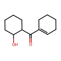 O=C(C1=CCCCC1)C1CCCCC1O